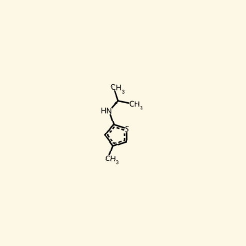 Cc1csc(NC(C)C)c1